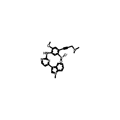 COc1cc(C#CCN(C)C)c([N+](=O)[O-])cc1Nc1nccc(-c2cn(C)c3ccccc23)n1